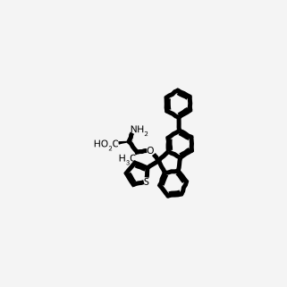 C[C@@H](OC1(c2cccs2)c2ccccc2-c2ccc(-c3ccccc3)cc21)[C@H](N)C(=O)O